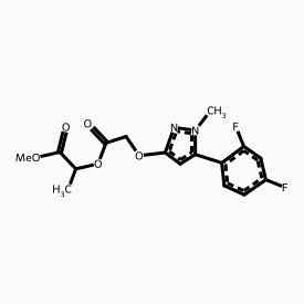 COC(=O)C(C)OC(=O)COc1cc(-c2ccc(F)cc2F)n(C)n1